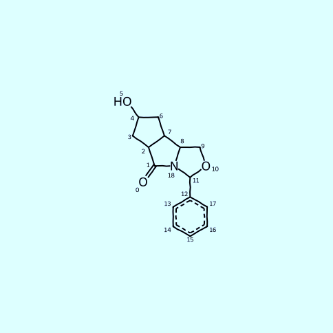 O=C1C2CC(O)CC2C2COC(c3ccccc3)N12